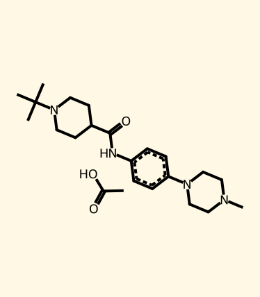 CC(=O)O.CN1CCN(c2ccc(NC(=O)C3CCN(C(C)(C)C)CC3)cc2)CC1